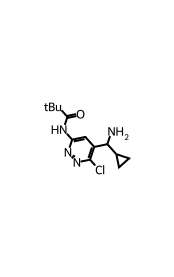 CC(C)(C)C(=O)Nc1cc(C(N)C2CC2)c(Cl)nn1